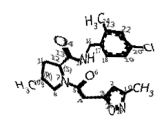 Cc1cc(CC(=O)N2C[C@H](C)C[C@H]2C(=O)NCc2ccc(Cl)cc2C)on1